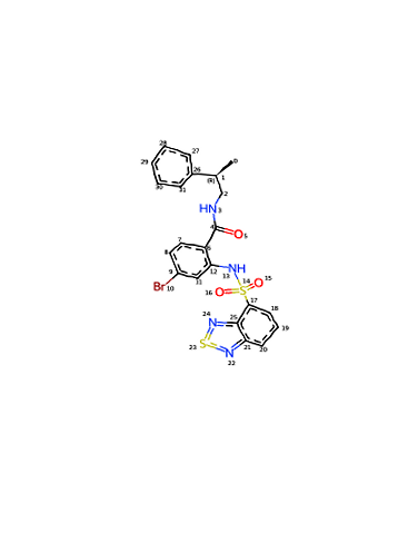 C[C@@H](CNC(=O)c1ccc(Br)cc1NS(=O)(=O)c1cccc2nsnc12)c1ccccc1